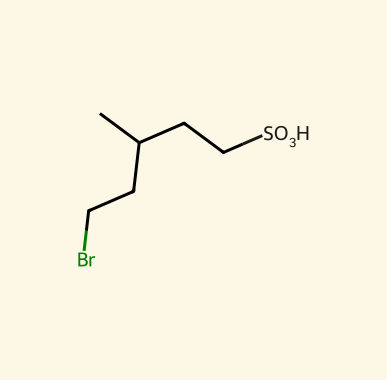 CC(CCBr)CCS(=O)(=O)O